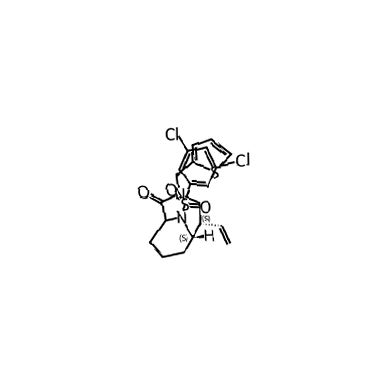 C=C[C@H]1CN(Cc2cccs2)C(=O)C2CCC[C@@H]1N2S(=O)(=O)c1cc(Cl)cc(Cl)c1